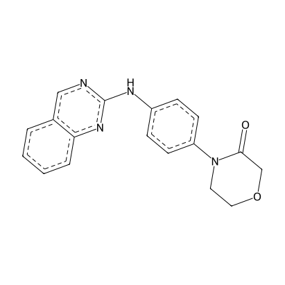 O=C1COCCN1c1ccc(Nc2ncc3ccccc3n2)cc1